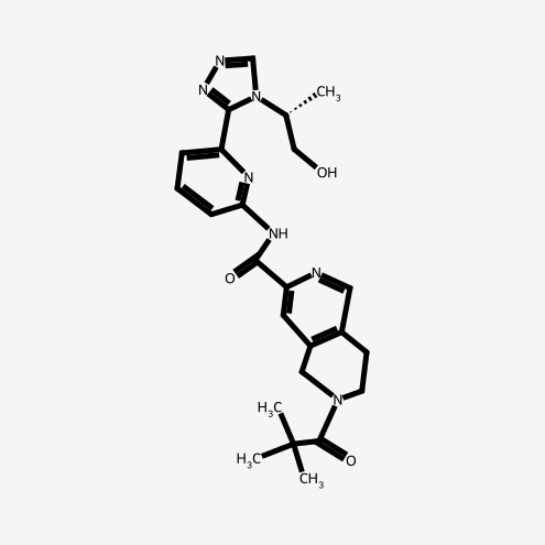 C[C@H](CO)n1cnnc1-c1cccc(NC(=O)c2cc3c(cn2)CCN(C(=O)C(C)(C)C)C3)n1